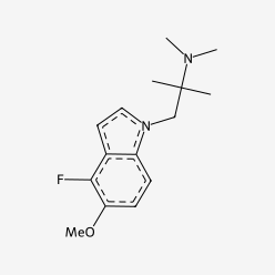 COc1ccc2c(ccn2CC(C)(C)N(C)C)c1F